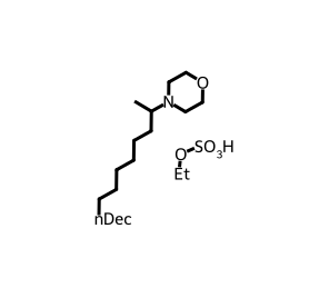 CCCCCCCCCCCCCCCCC(C)N1CCOCC1.CCOS(=O)(=O)O